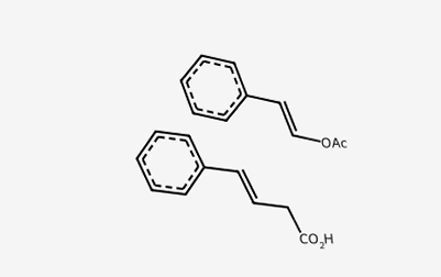 CC(=O)OC=Cc1ccccc1.O=C(O)CC=Cc1ccccc1